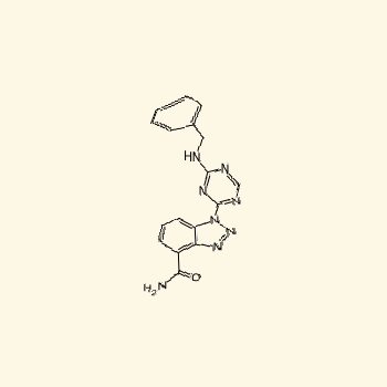 NC(=O)c1cccc2c1nnn2-c1ncnc(NCc2ccccc2)n1